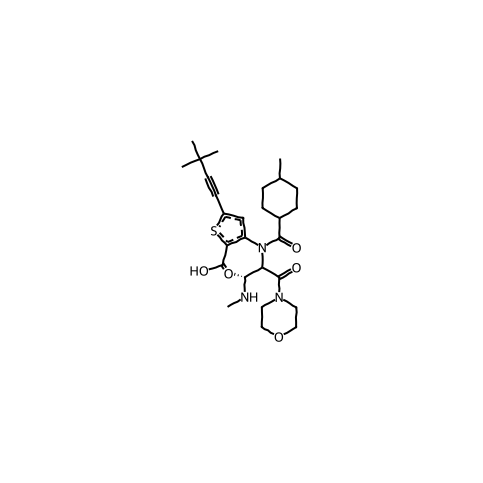 CN[C@H](C)C(C(=O)N1CCOCC1)N(C(=O)C1CCC(C)CC1)c1cc(C#CC(C)(C)C)sc1C(=O)O